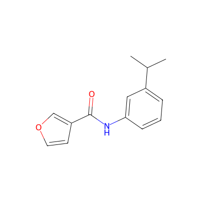 CC(C)c1cccc(NC(=O)c2ccoc2)c1